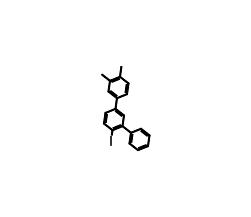 Cc1ccc(-c2ccc(I)c(-c3ccccc3)c2)cc1C